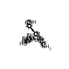 Cc1cc(C#Cc2ccc3c(c2)NCCO3)cnc1-n1cnn(CC(CN)=C(F)F)c1=O.O=C(O)C(F)(F)F.O=C(O)C(F)(F)F